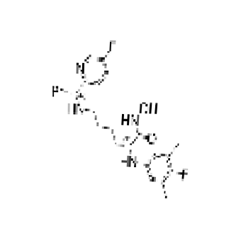 Cc1cc(N[C@H](CCCCN[C@@H](c2ccc(F)cn2)C(C)C)C(=O)NO)cc(C)c1F